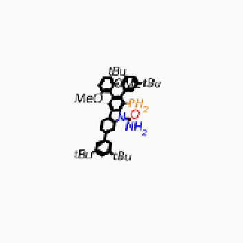 COc1cccc(OC)c1-c1cc2c3ccc(-c4cc(C(C)(C)C)cc(C(C)(C)C)c4)cc3n(C(N)=O)c2c(P)c1-c1cc(C(C)(C)C)cc(C(C)(C)C)c1